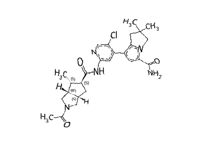 CC(=O)N1C[C@H]2C[C@H](C(=O)Nc3cc(-c4cc(C(N)=O)n5c4CC(C)(C)C5)c(Cl)cn3)[C@@H](C)[C@H]2C1